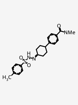 CNC(=O)c1ccc(C2CCC(=NNS(=O)(=O)c3ccc(C)cc3)CC2)cc1